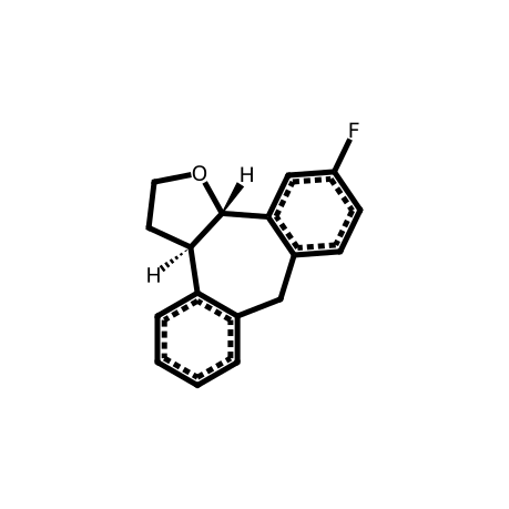 Fc1ccc2c(c1)[C@H]1OCC[C@@H]1c1ccccc1C2